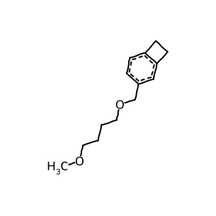 COCCCCOCc1ccc2c(c1)CC2